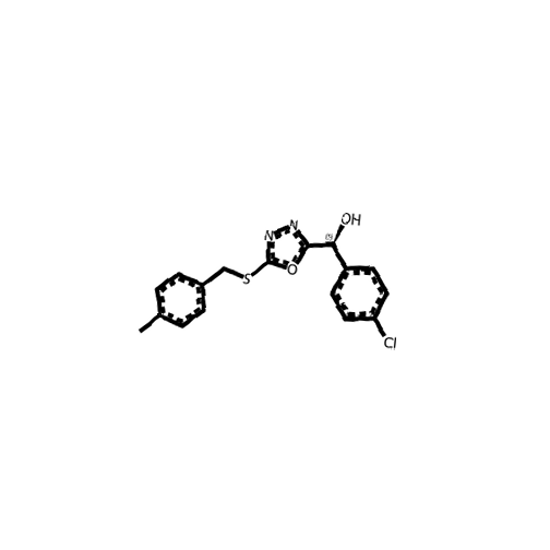 Cc1ccc(CSc2nnc([C@@H](O)c3ccc(Cl)cc3)o2)cc1